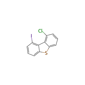 Clc1cccc2sc3cccc(I)c3c12